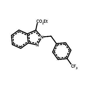 CCOC(=O)c1c2ccccc2nn1Cc1ccc(C(F)(F)F)cc1